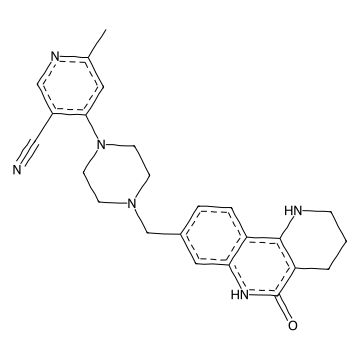 Cc1cc(N2CCN(Cc3ccc4c5c(c(=O)[nH]c4c3)CCCN5)CC2)c(C#N)cn1